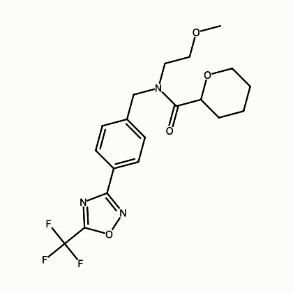 COCCN(Cc1ccc(-c2noc(C(F)(F)F)n2)cc1)C(=O)C1CCCCO1